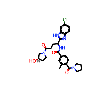 Cc1cc(C(=O)NC(CCC(=O)N2CC[C@@H](O)C2)c2nc3ccc(Cl)cc3[nH]2)ccc1C(=O)N1CCCC1